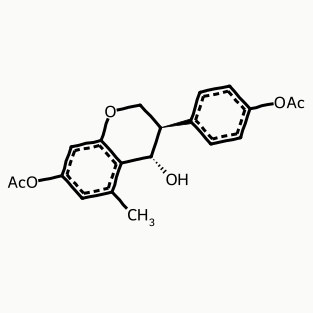 CC(=O)Oc1ccc([C@@H]2COc3cc(OC(C)=O)cc(C)c3[C@H]2O)cc1